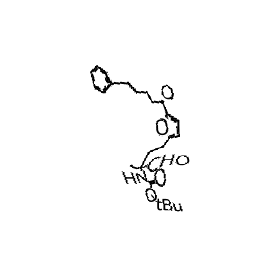 CC(C)(C)OC(=O)N[C@@](C)(C=O)CCc1ccc(C(=O)CCCCc2ccccc2)o1